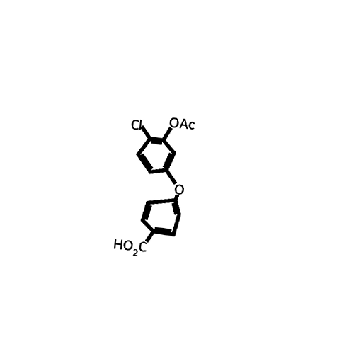 CC(=O)Oc1cc(Oc2ccc(C(=O)O)cc2)ccc1Cl